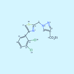 CCOC(=O)c1cnn(Cc2nc(-c3cccc(Cl)c3Cl)cs2)c1